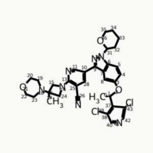 C[C@@H](Oc1ccc2c(c1)c(-c1cnc(N3CC(C)(N4CCOCC4)C3)c(C#N)c1)nn2C1CCCCO1)c1c(Cl)cncc1Cl